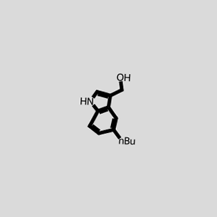 CCCCc1ccc2[nH]cc(CO)c2c1